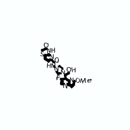 COc1ccc2ncc(F)c(C(CO)N3CCN(NC(=O)c4ccc5c(n4)NC(=O)CS5)CC3)c2n1